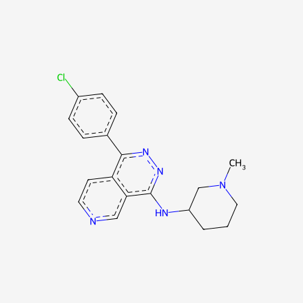 CN1CCCC(Nc2nnc(-c3ccc(Cl)cc3)c3ccncc23)C1